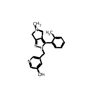 Cc1ccccc1-c1c2c(nn1Cc1cncc(O)c1)CN(C)C2